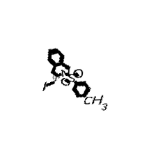 Cc1ccc(S(=O)(=O)N2Cc3ccccc3C[C@H]2CI)cc1